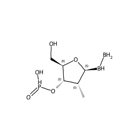 BB[C@@H]1O[C@H](CO)[C@@H](O[PH](=O)O)[C@H]1C